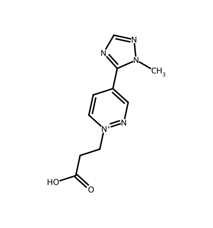 Cn1ncnc1-c1cc[n+](CCC(=O)O)nc1